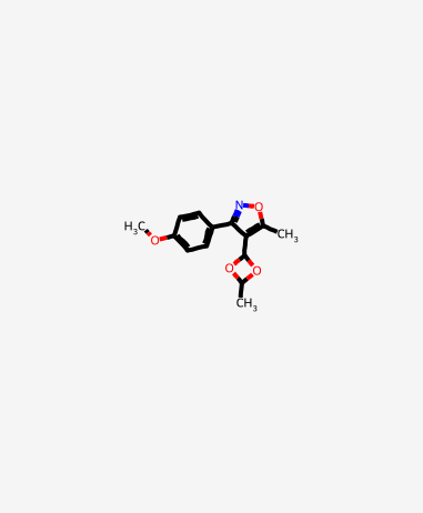 COc1ccc(-c2noc(C)c2C2OC(C)O2)cc1